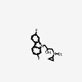 CCN(CC(O)Cn1c2cc(F)ccc2c2ccc(F)cc21)C1CC1